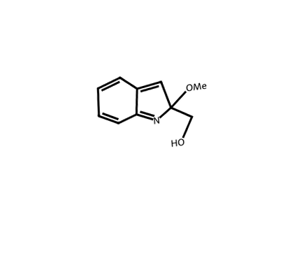 COC1(CO)C=c2ccccc2=N1